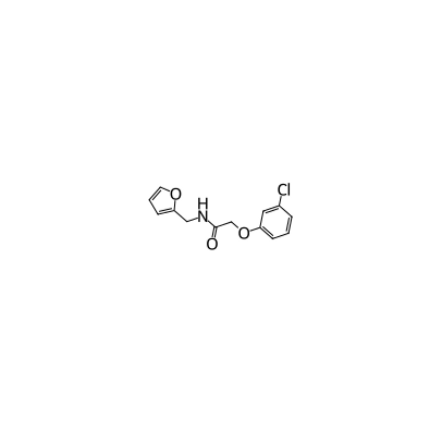 O=C(COc1cccc(Cl)c1)NCc1ccco1